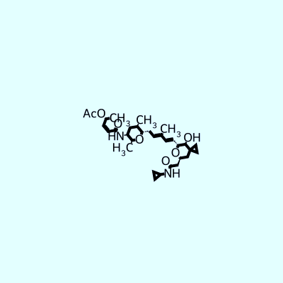 CC(=O)O[C@@H](C)/C=C\C(=O)N[C@@H]1C[C@H](C)[C@H](C/C=C(C)/C=C/[C@H]2O[C@H](CC(=O)NC3CC3)CC3(CC3)[C@@H]2O)O[C@@H]1C